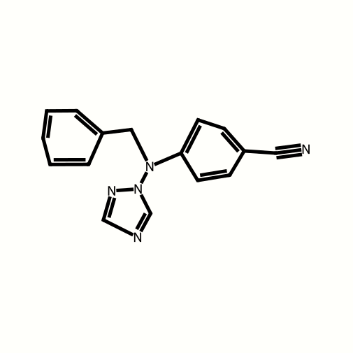 N#Cc1ccc(N(Cc2ccccc2)n2cncn2)cc1